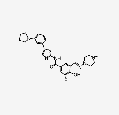 CN1CCN(N=Cc2cc(C(=O)Nc3ncc(-c4cccc(N5CCCC5)c4)s3)cc(F)c2O)CC1